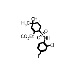 CCOC(=O)C1=CC(C)(C)CCC1S(=O)(=O)Nc1ccc(F)cc1Cl